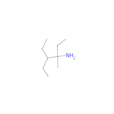 CC[C](CC)C(C)(N)CC